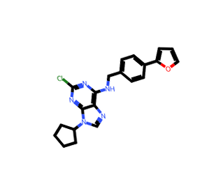 Clc1nc(NCc2ccc(-c3ccco3)cc2)c2ncn(C3CCCC3)c2n1